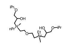 CCC[N+](C)(CCOCC[N+](C)(CC)CC(O)COC(C)C)CC(O)COC(C)C